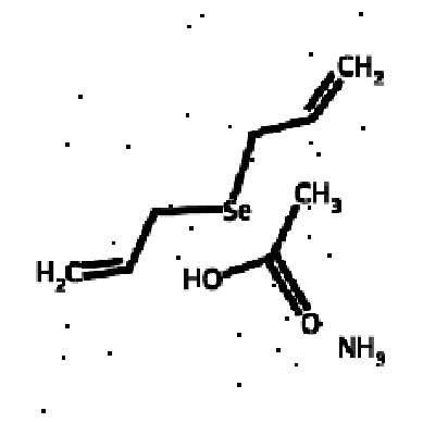 C=CC[Se]CC=C.CC(=O)O.N